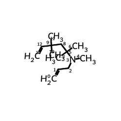 C=CCN(C)C(C)(C)CC(C)(C)C=C